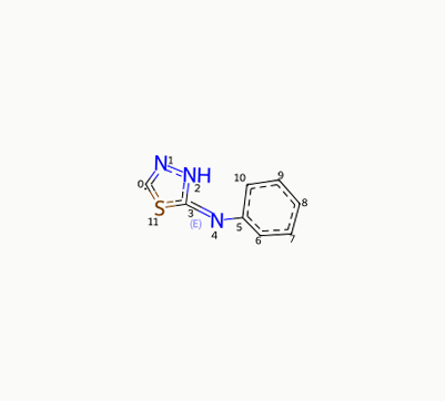 [c]1n[nH]/c(=N\c2ccccc2)s1